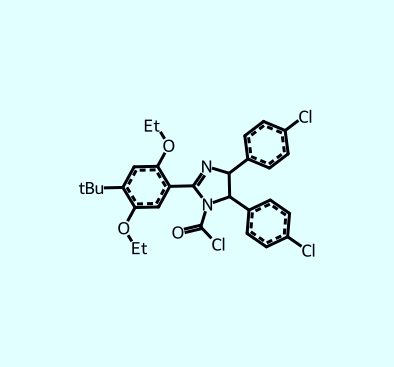 CCOc1cc(C(C)(C)C)c(OCC)cc1C1=NC(c2ccc(Cl)cc2)C(c2ccc(Cl)cc2)N1C(=O)Cl